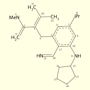 C=C(NC)C(Cc1cc(C(C)C)cc(NC2CCCC2)c1C=N)=C(C)C